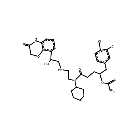 NC(=O)OC(CCC(=O)N(CCNCC(O)c1cccc2c1OCC(=O)N2)C1CCCCC1)Cc1ccc(Cl)c(Cl)c1